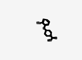 CCCC(=O)N1CCC(Oc2ccccc2C(C)(C)C)CC1